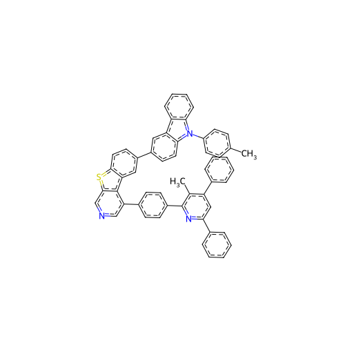 Cc1ccc(-n2c3ccccc3c3cc(-c4ccc5sc6cncc(-c7ccc(-c8nc(-c9ccccc9)cc(-c9ccccc9)c8C)cc7)c6c5c4)ccc32)cc1